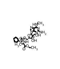 CCOC(=O)C(C)N[P@@](=O)(OC[C@H]1O[C@@H](n2cnc3c(NC)nc(N)nc32)[C@@](F)(CO)[C@@H]1O)Oc1ccccc1